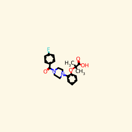 CC(C)(Oc1ccccc1N1CCN(C(=O)c2ccc(F)cc2)CC1)C(=O)O